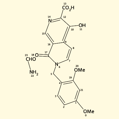 COc1ccc(Cn2ccc3c(O)c(C(=O)O)ncc3c2=O)c(OC)c1.NC=O